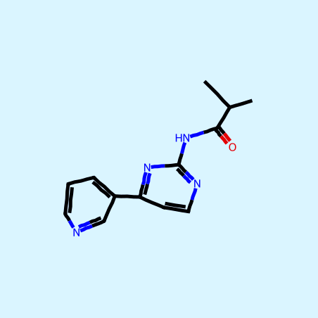 CC(C)C(=O)Nc1nccc(-c2cccnc2)n1